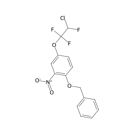 O=[N+]([O-])c1cc(OC(F)(F)C(F)Cl)ccc1OCc1ccccc1